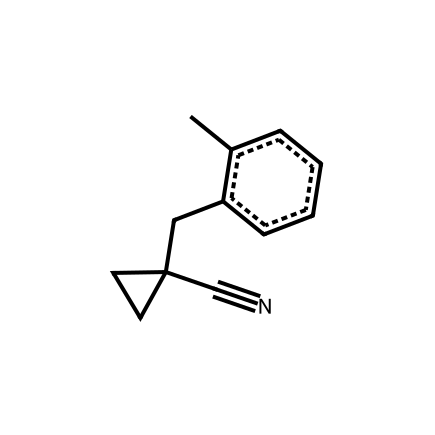 Cc1ccccc1CC1(C#N)CC1